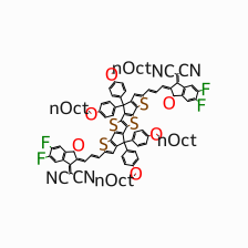 CCCCCCCCOc1ccc(C2(c3ccc(OCCCCCCCC)cc3)c3cc(/C=C/C=C4\C(=O)c5cc(F)c(F)cc5C4=C(C#N)C#N)sc3-c3sc4c5c(sc4c32)-c2sc(/C=C/C=C3\C(=O)c4cc(F)c(F)cc4C3=C(C#N)C#N)cc2C5(c2ccc(OCCCCCCCC)cc2)c2ccc(OCCCCCCCC)cc2)cc1